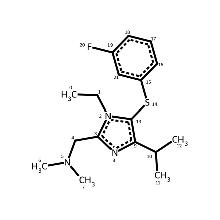 CCn1c(CN(C)C)nc(C(C)C)c1Sc1cccc(F)c1